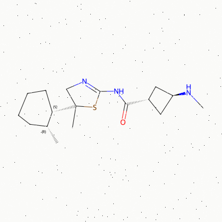 CN[C@H]1C[C@H](C(=O)NC2=NCC(C)([C@H]3CCCC[C@H]3C)S2)C1